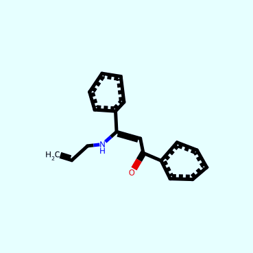 C=CCN/C(=C\C(=O)c1ccccc1)c1ccccc1